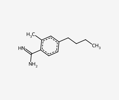 CCCCc1ccc(C(=N)N)c(C)c1